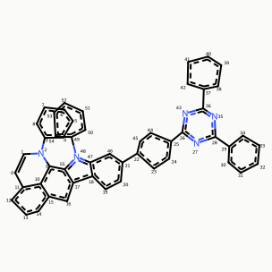 C1=CN(c2ccccc2)c2c3c1cccc3cc1c3ccc(-c4ccc(-c5nc(-c6ccccc6)nc(-c6ccccc6)n5)cc4)cc3n(-c3ccccc3)c21